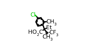 CCC(C(=O)O)(c1ccc(Cl)cc1C)[C@@H](C)C(F)(F)F